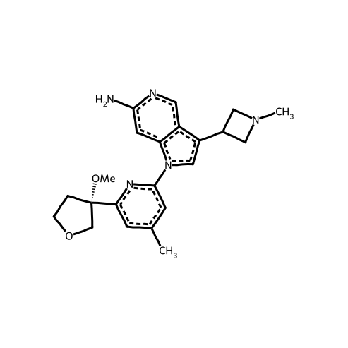 CO[C@@]1(c2cc(C)cc(-n3cc(C4CN(C)C4)c4cnc(N)cc43)n2)CCOC1